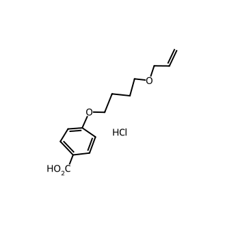 C=CCOCCCCOc1ccc(C(=O)O)cc1.Cl